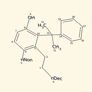 CCCCCCCCCCCCc1c(CCCCCCCCC)ccc(O)c1C(C)(C)c1ccccc1